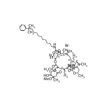 CC[C@H]1OC(=O)[C@H](C)[C@@H](O[C@H]2C[C@@](C)(OC)[C@@H](O)[C@H](C)O2)[C@H](C)[C@@H](OC2OC(C)CC(N(C)C)C2OC(C)=O)[C@](C)(O)C[C@@H](C)CN(C)[C@H](C)[C@@H](OC(=O)NCCCCCCCCCC[P+](C)(C)c2ccccc2)[C@]1(C)O.[Br-]